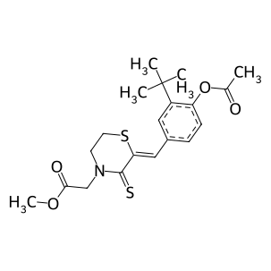 COC(=O)CN1CCS/C(=C\c2ccc(OC(C)=O)c(C(C)(C)C)c2)C1=S